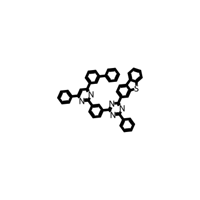 c1ccc(-c2cccc(-c3cc(-c4ccccc4)nc(-c4cccc(-c5nc(-c6ccccc6)nc(-c6ccc7c(c6)sc6ccccc67)n5)c4)n3)c2)cc1